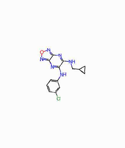 Clc1cccc(Nc2nc3nonc3nc2NCC2CC2)c1